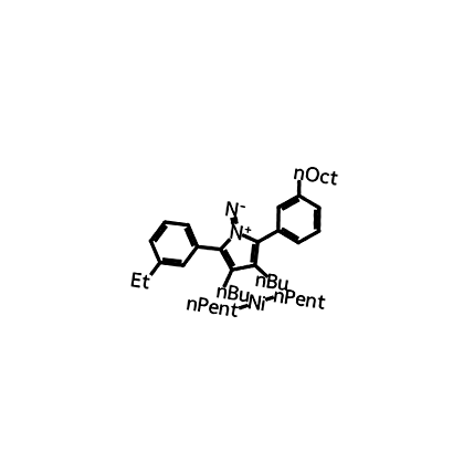 CCCCCCCCc1cccc(C2=C(CCCC)C(CCCC)=C(c3cccc(CC)c3)[N+]2=[N-])c1.CCCC[CH2][Ni][CH2]CCCC